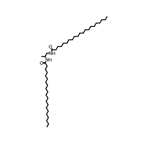 CCCCCCCCCCCCCCCCCCCCC(=O)NCC(C)NC(=O)CCCCCCCCCCCCCCCCCCCC